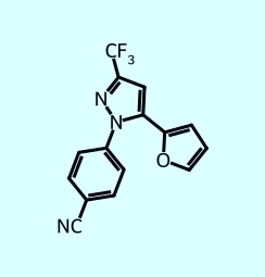 N#Cc1ccc(-n2nc(C(F)(F)F)cc2-c2ccco2)cc1